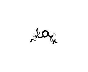 CCOP(=O)(Cc1cccc(C(=O)OC(C)(C)C)c1)OCC